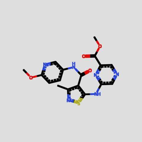 COC(=O)c1cncc(Nc2snc(C)c2C(=O)Nc2ccc(OC)nc2)n1